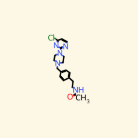 CC(=O)NCCc1ccc(CN2CCN(c3nccc(Cl)n3)CC2)cc1